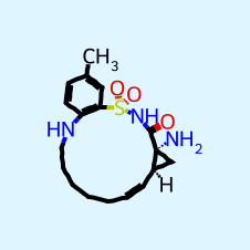 Cc1ccc2c(c1)S(=O)(=O)NC(=O)[C@@]1(N)C[C@H]1/C=C\CCCCCN2